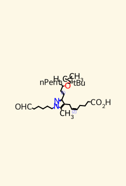 CCCCCC(/C=C/c1nn(CCCCCC=O)c(C)c1C/C=C\CCCC(=O)O)O[Si](C)(C)C(C)(C)C